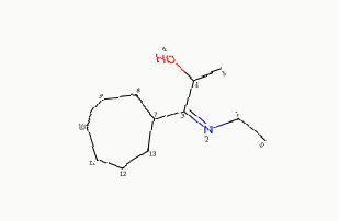 CC/N=C(\C(C)O)C1CCCCCC1